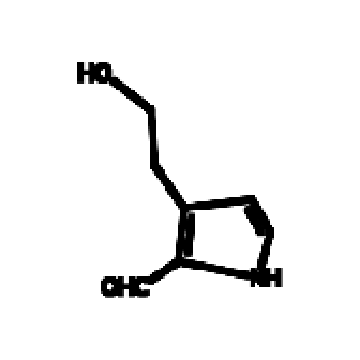 O=Cc1[nH]ccc1CCO